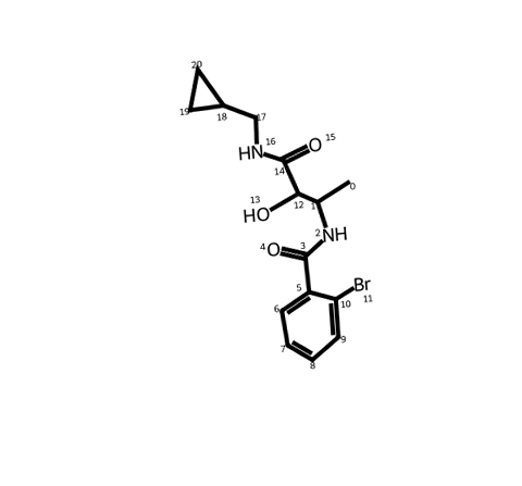 CC(NC(=O)c1ccccc1Br)C(O)C(=O)NCC1CC1